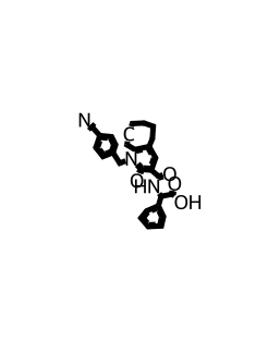 N#Cc1ccc(Cn2c3c(cc(C(=O)NC(C(=O)O)c4ccccc4)c2=O)CCCCCC3)cc1